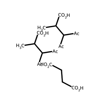 CC(=O)C(C(C)=O)C(C)C(=O)O.CC(=O)C(C(C)=O)C(C)C(=O)O.O=C(O)CCC(=O)O